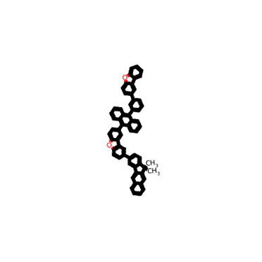 CC1(C)c2ccc(-c3ccc4oc5ccc(-c6c7ccccc7c(-c7cccc(-c8ccc9oc%10ccccc%10c9c8)c7)c7ccccc67)cc5c4c3)cc2-c2cc3ccccc3cc21